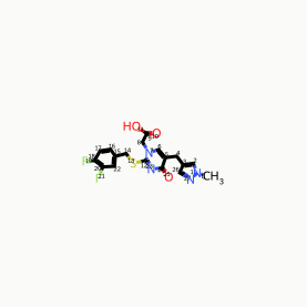 Cn1cc(Cc2cn(CC(=O)O)c(SCc3ccc(F)c(F)c3)nc2=O)cn1